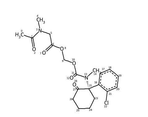 CC(=O)N(C)CC(=O)OCOC(=O)N(C)[C@]1(c2ccccc2Cl)CCCCC1=O